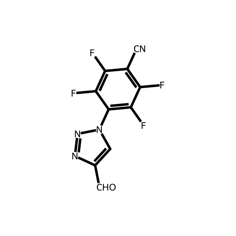 N#Cc1c(F)c(F)c(-n2cc(C=O)nn2)c(F)c1F